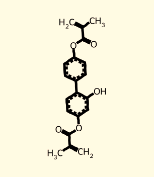 C=C(C)C(=O)Oc1ccc(-c2ccc(OC(=O)C(=C)C)cc2O)cc1